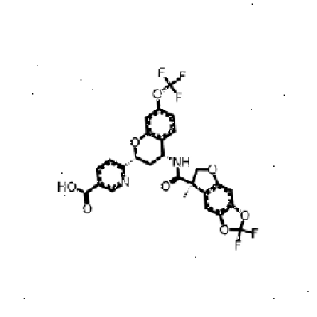 C[C@]1(C(=O)N[C@@H]2C[C@H](c3ccc(C(=O)O)cn3)Oc3cc(OC(F)(F)F)ccc32)COc2cc3c(cc21)OC(F)(F)O3